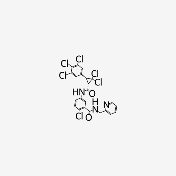 O=C(NCc1ccccn1)c1cc(NC(=O)[C@@H]2[C@@H](c3cc(Cl)c(Cl)c(Cl)c3)C2(Cl)Cl)ccc1Cl